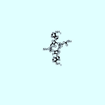 COP1(=O)OCC2O[C@@H](n3cnc4c(N)ncnc43)C(OP(=O)(OCOC(=O)C(C)(C)C)OC[C@H]3O[C@@H](n4cnc5c(N)ncnc54)C(F)C3O1)C2O